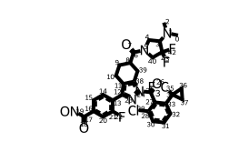 CN(C)C1CN(C(=O)C2CCc3c(-c4ccc(C(=O)N=O)cc4F)nn(C(=O)c4c(Cl)cccc4C4(C(F)(F)F)CC4)c3C2)CC1(F)F